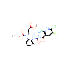 CC(C)c1cccc(N(CCC(=O)OC(C)(C)C)C(=O)OC(C)(C)C)c1NC(O)NC(=O)c1cc(F)c(Cl)nc1Cl